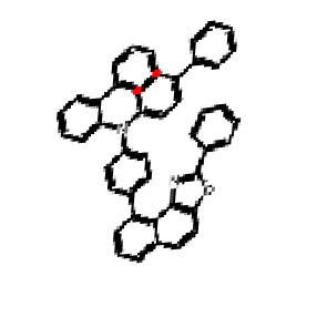 c1ccc(-c2ccc(N(c3ccc(-c4cccc5ccc6oc(-c7ccccc7)nc6c45)cc3)c3ccccc3-c3ccccc3)cc2)cc1